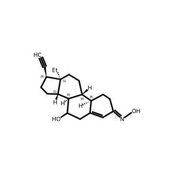 C#C[C@@H]1CC[C@H]2[C@@H]3C(O)CC4=C/C(=N/O)CC[C@@H]4[C@H]3CC[C@]12CC